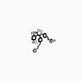 O=C1Nc2ccc([N+](=O)[O-])cc2C1=C(Nc1ccc(C=Cc2c[nH]cn2)cc1)c1ccc(CCCN2CCCC2)cc1